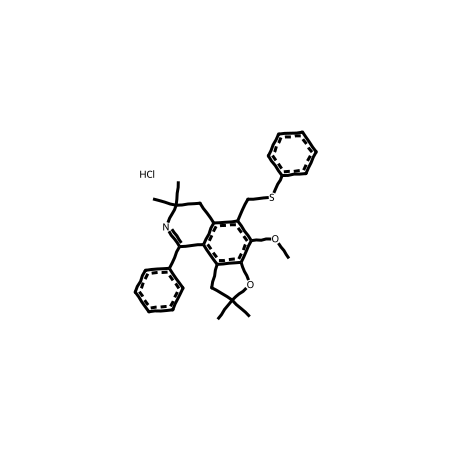 COc1c(CSc2ccccc2)c2c(c3c1OC(C)(C)C3)C(c1ccccc1)=NC(C)(C)C2.Cl